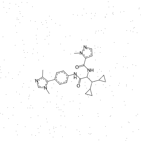 Cc1ncn(C)c1-c1ccc(NC(=O)C(NC(=O)c2ccnn2C)C(C2CC2)C2CC2)cc1